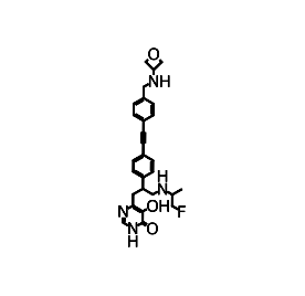 CC(CF)NCC(Cc1nc[nH]c(=O)c1O)c1ccc(C#Cc2ccc(CNC3COC3)cc2)cc1